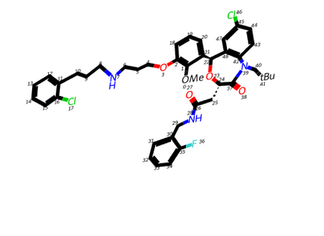 COc1c(OCCCNCCCc2ccccc2Cl)cccc1[C@@H]1O[C@@H](CC(=O)NCc2ccccc2F)C(=O)N(CC(C)(C)C)c2ccc(Cl)cc21